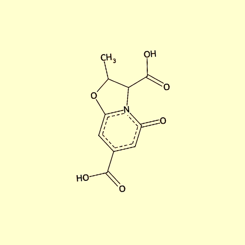 CC1Oc2cc(C(=O)O)cc(=O)n2C1C(=O)O